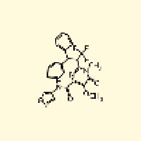 COc1c(C(=O)Nc2cnoc2)nc(C(C(c2ccccc2)c2ccccc2)C(F)(F)F)n(C)c1=O